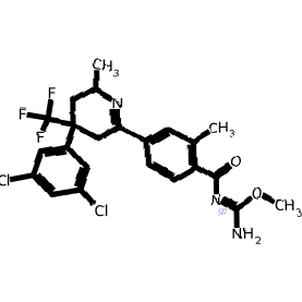 CO/C(N)=N\C(=O)c1ccc(C2=NC(C)CC(c3cc(Cl)cc(Cl)c3)(C(F)(F)F)C2)cc1C